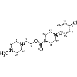 CN1CCN(CCOC(=O)N2CCN(c3ccc(Cl)cc3)CC2)CC1